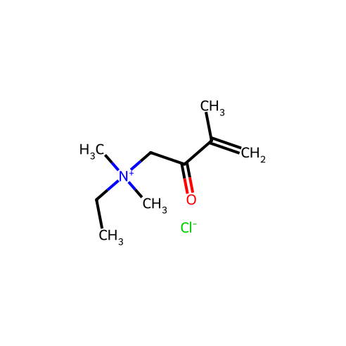 C=C(C)C(=O)C[N+](C)(C)CC.[Cl-]